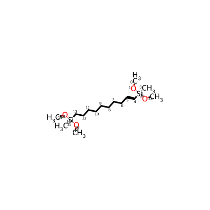 CO[Si](C)(/C=C/CCCCCCCC[Si](C)(OC)OC)OC